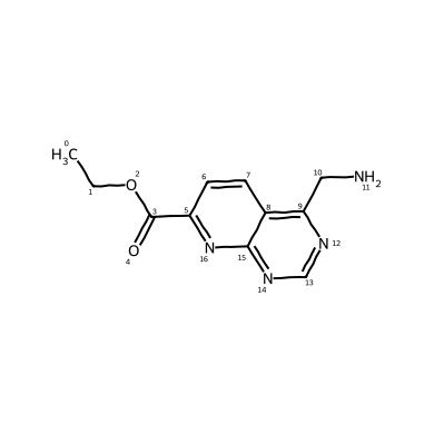 CCOC(=O)c1ccc2c(CN)ncnc2n1